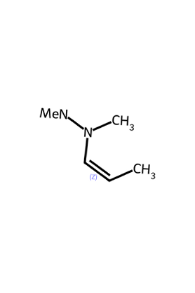 C/C=C\N(C)NC